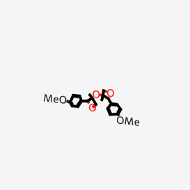 COc1ccc(C2OCC2(C)OC2(C)COC2c2ccc(OC)cc2)cc1